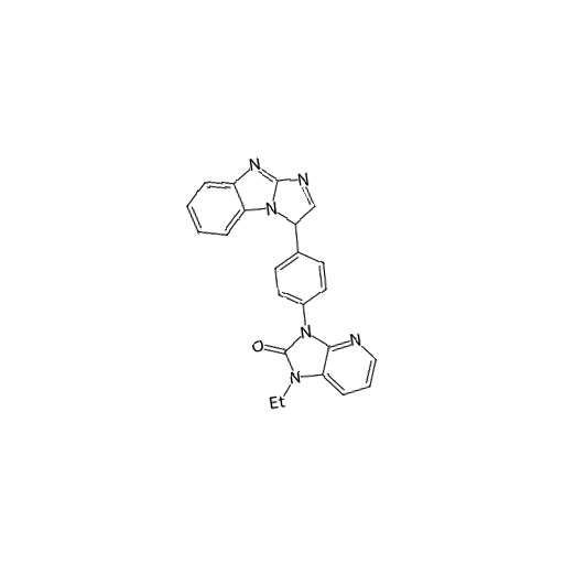 CCn1c(=O)n(-c2ccc(C3C=Nc4nc5ccccc5n43)cc2)c2ncccc21